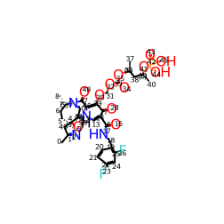 CC1=NO[C@@]2(CC[C@H](C)N3C[C@H]2n2cc(C(=O)NCc4ccc(F)cc4F)c(=O)c(OCOC(=O)O[C@@H](C)C[C@H](C)OP(=O)(O)O)c2C3=O)C1